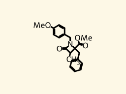 COC(=O)C1(Cc2ccccc2)C(C)C(=O)N1Cc1ccc(OC)cc1